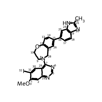 COc1cc2ncnc(N3CCOc4ccc(-c5ccc6nc(C)[nH]c6c5)cc4C3)c2cc1I